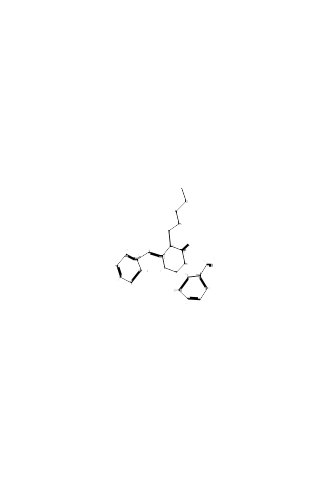 CCCCCC1C(=O)CCCC1=Cc1ccccc1.O=Cc1ccccc1